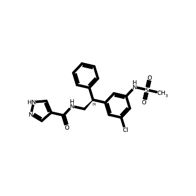 CS(=O)(=O)Nc1cc(Cl)cc([C@@H](CNC(=O)c2cn[nH]c2)c2ccccc2)c1